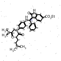 CCOC(=O)c1ccc2c(c1)NC(=O)/C2=C(\Nc1ccc(N(CC(=O)N(C)C)C(=O)CCCN(C)C)cc1)c1ccccc1